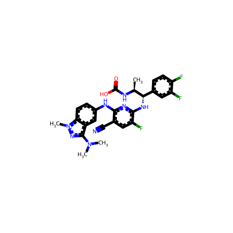 C[C@H](NC(=O)O)[C@@H](Nc1nc(Nc2ccc3c(c2)c(N(C)C)nn3C)c(C#N)cc1F)c1ccc(F)c(F)c1